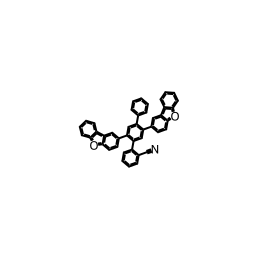 N#Cc1ccccc1-c1cc(-c2ccc3oc4ccccc4c3c2)c(-c2ccccc2)cc1-c1ccc2oc3ccccc3c2c1